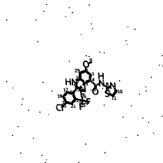 COc1cc(C(=O)Nc2nccs2)c2nc(-c3ccc(Cl)cc3C(F)(F)F)[nH]c2c1